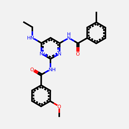 CCNc1cc(NC(=O)c2cccc(C)c2)nc(NC(=O)c2cccc(OC)c2)n1